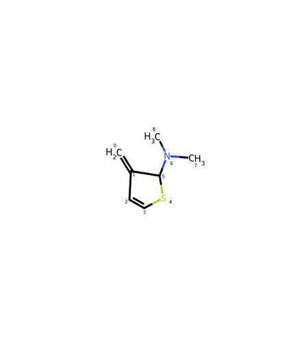 C=C1C=CSC1N(C)C